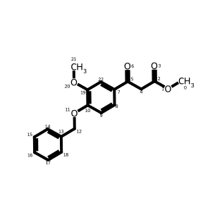 COC(=O)CC(=O)c1ccc(OCc2ccccc2)c(OC)c1